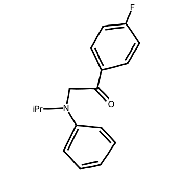 CC(C)N(CC(=O)c1ccc(F)cc1)c1ccccc1